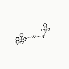 CN(CCCCOCCCCN1CCC(C(C(N)=O)(c2ccccc2)c2ccccc2)C1)CCCN1C(=O)c2ccccc2C1=O